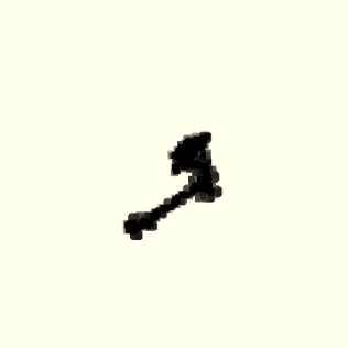 CCC(=O)O[C@]1(C(=O)COCNC(=O)[C@H](C)NC(=O)[C@H](CCC(=O)O)NC(=O)CCOCCOCCOCCOCCNC(=O)CCN2C(=O)C=CC2=O)[C@@H](C)CC2[C@@H]3CCC4=CC(=O)C=C[C@]4(C)[C@@]3(Cl)[C@@H](O)C[C@@]21C